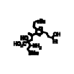 C=C(C[C@](O)(C(=O)O)C(N)CSC)c1cc(CCC(O)CC)oc1/C=C\CCCC